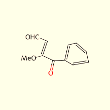 COC(=CC=O)C(=O)c1ccccc1